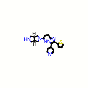 c1csc(-c2nc3ccc(N4C[C@H]5CNC[C@H]5C4)nn3c2-c2ccncc2)c1